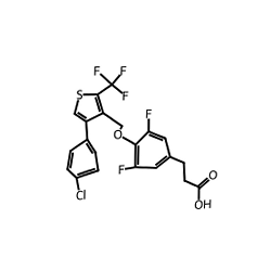 O=C(O)CCc1cc(F)c(OCc2c(-c3ccc(Cl)cc3)csc2C(F)(F)F)c(F)c1